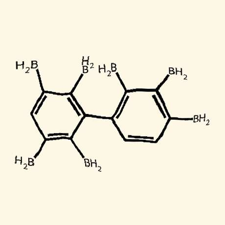 Bc1ccc(-c2c(B)c(B)cc(B)c2B)c(B)c1B